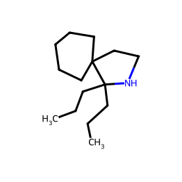 CCCC1(CCC)NCCC12CCCCC2